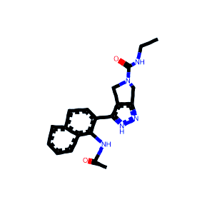 CCNC(=O)N1Cc2n[nH]c(-c3ccc4ccccc4c3NC(C)=O)c2C1